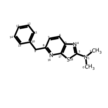 CN(C)c1nc2ccc(Cc3ccccc3)nc2s1